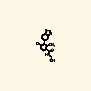 Cc1c(C(=O)NCO)ccc(Cl)c1-c1ccc2scnc2c1